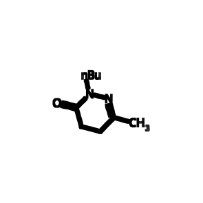 CCCCN1N=C(C)CCC1=O